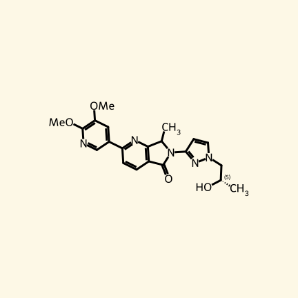 COc1cc(-c2ccc3c(n2)C(C)N(c2ccn(C[C@H](C)O)n2)C3=O)cnc1OC